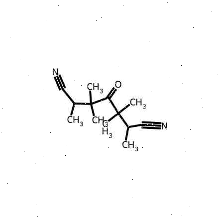 CC(C#N)C(C)(C)C(=O)C(C)(C)C(C)C#N